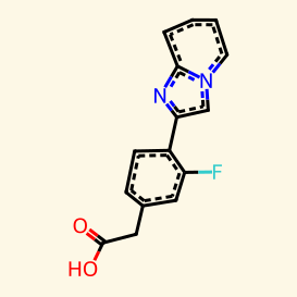 O=C(O)Cc1ccc(-c2cn3ccccc3n2)c(F)c1